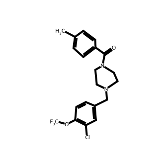 Cc1ccc(C(=O)N2CCN(Cc3ccc(OC(F)(F)F)c(Cl)c3)CC2)cc1